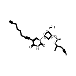 [2H]C[C@H]1O[C@@H](n2cc(C#CCCCCC#C)c(=O)[nH]c2=O)C[C@H]1OP(C)OC(C)CC#N